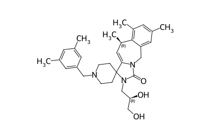 Cc1cc(C)cc(CN2CCC3(CC2)C2=C[C@@H](C)c4c(C)cc(C)cc4CN2C(=O)N3C[C@@H](O)CO)c1